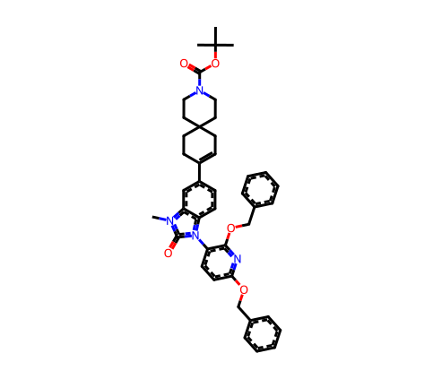 Cn1c(=O)n(-c2ccc(OCc3ccccc3)nc2OCc2ccccc2)c2ccc(C3=CCC4(CC3)CCN(C(=O)OC(C)(C)C)CC4)cc21